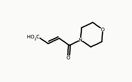 O=C(O)C=CC(=O)N1CCOCC1